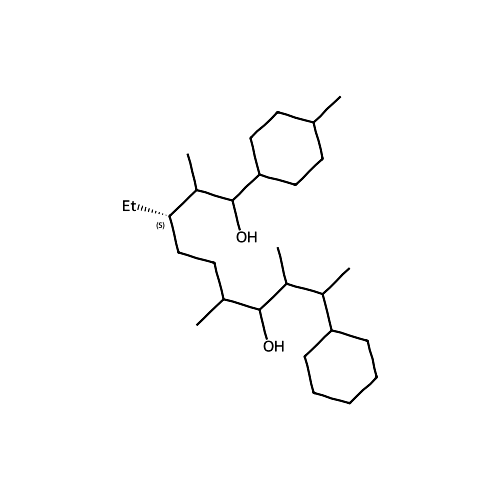 CC[C@@H](CCC(C)C(O)C(C)C(C)C1CCCCC1)C(C)C(O)C1CCC(C)CC1